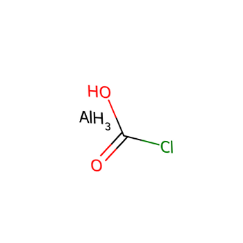 O=C(O)Cl.[AlH3]